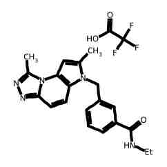 CCNC(=O)c1cccc(Cn2c(C)cc3c2ccc2nnc(C)n23)c1.O=C(O)C(F)(F)F